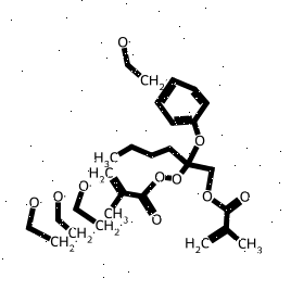 C=C(C)C(=O)OCC(CCCC)(OOC(=O)C(=C)C)Oc1ccccc1.[CH2]C[O].[CH2]C[O].[CH2]C[O].[CH2]C[O]